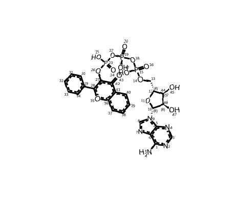 Nc1ncnc2c1ncn2[C@@H]1O[C@H](COP(=O)(O)OP(=O)(O)OP(=O)(O)Oc2c(-c3ccccc3)oc3ccccc3c2=O)[C@@H](O)[C@H]1O